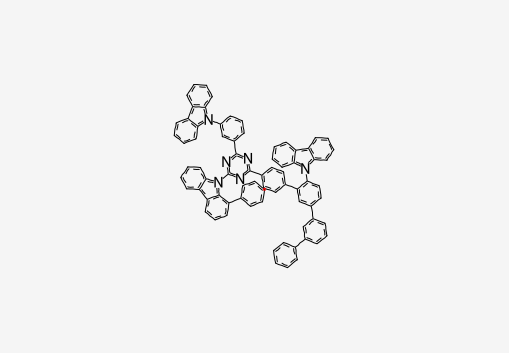 c1ccc(-c2cccc(-c3ccc(-n4c5ccccc5c5ccccc54)c(-c4ccc(-c5nc(-c6cccc(-n7c8ccccc8c8ccccc87)c6)nc(-n6c7ccccc7c7cccc(-c8ccccc8)c76)n5)cc4)c3)c2)cc1